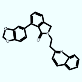 O=C1c2c(cccc2-c2ccc3c(c2)OCO3)CN1CCc1ccc2ccccc2n1